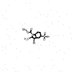 Cc1c(Br)c2cc(S(=O)(=O)C(C)C)ccc2n1C(=O)OC(C)(C)C